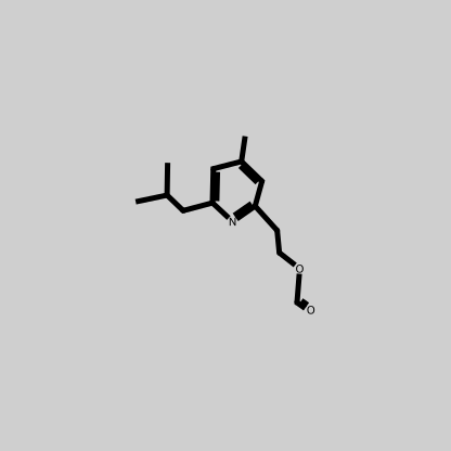 Cc1cc(CCOC=O)nc(CC(C)C)c1